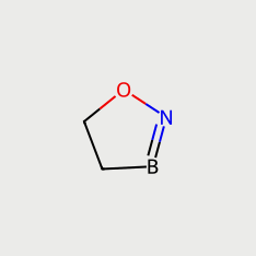 B1=NOCC1